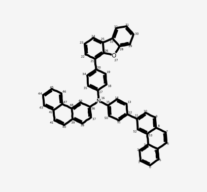 c1ccc2c(c1)ccc1ccc(-c3ccc(N(c4ccc(-c5cccc6c5oc5ccccc56)cc4)c4ccc5ccc6ccccc6c5c4)cc3)cc12